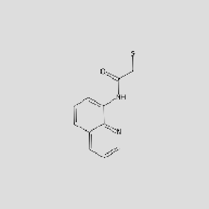 O=C(C[S])Nc1cccc2cccnc12